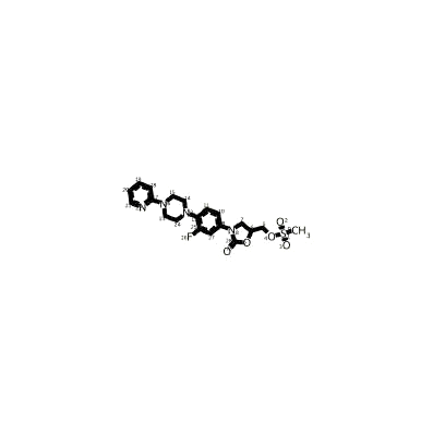 CS(=O)(=O)OCC1CN(c2ccc(N3CCN(c4ccccn4)CC3)c(F)c2)C(=O)O1